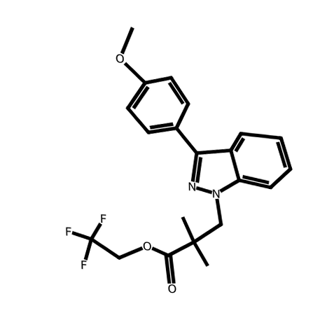 COc1ccc(-c2nn(CC(C)(C)C(=O)OCC(F)(F)F)c3ccccc23)cc1